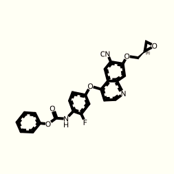 [C-]#[N+]c1cc2c(Oc3ccc(NC(=O)Oc4ccccc4)c(F)c3)ccnc2cc1OC[C@H]1CO1